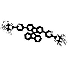 CC1(C)N=C(c2ccc(-c3ccc4c(c3)C3(c5ccccc5-c5ccccc53)c3cc(-c5ccc(C6=NC(C)(C)C(C)(C)O6)nc5)ccc3-4)cn2)OC1(C)C